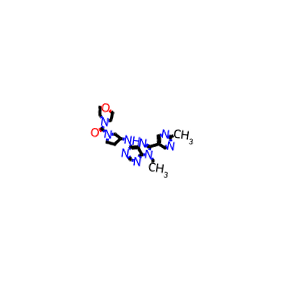 CCn1c(-c2cnc(C)nc2)nc2c(NC3CCN(C(=O)N4CCOCC4)C3)ncnc21